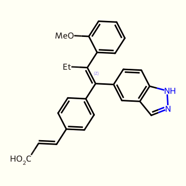 CC/C(=C(\c1ccc(C=CC(=O)O)cc1)c1ccc2[nH]ncc2c1)c1ccccc1OC